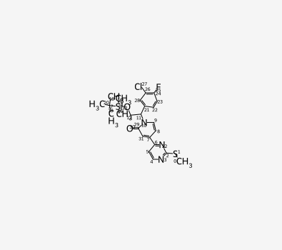 CSc1nccc(-c2ccn(C(CO[Si](C)(C)C(C)(C)C)c3ccc(F)c(Cl)c3)c(=O)c2)n1